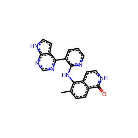 Cc1ccc2c(=O)[nH]ccc2c1Nc1ncccc1-c1ncnc2[nH]ccc12